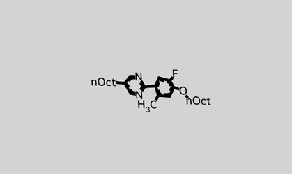 CCCCCCCCOc1cc(C)c(-c2ncc(CCCCCCCC)cn2)cc1F